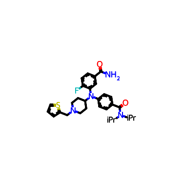 CC(C)N(C(=O)c1ccc(N(c2cc(C(N)=O)ccc2F)C2CCN(Cc3cccs3)CC2)cc1)C(C)C